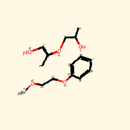 CC(O)COC(C)CO.CCCCOCCOc1ccccc1